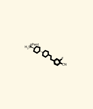 CCCCC[SiH2][C@H]1CC[C@H](C2CCC(CCc3ccc(C#N)c(F)c3)CC2)CC1